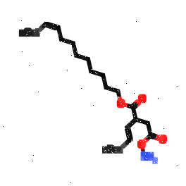 CCCCCCCC/C=C\CCCCCCCCOC(=O)C(C=CCCCCCCCCCC)CC(=O)ON